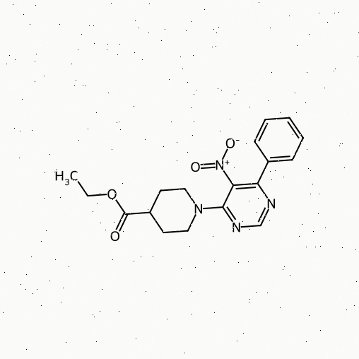 CCOC(=O)C1CCN(c2ncnc(-c3ccccc3)c2[N+](=O)[O-])CC1